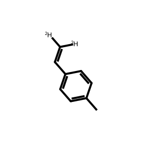 [2H]C([2H])=Cc1ccc(C)cc1